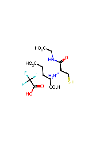 N[C@@H](CS)C(=O)NCC(=O)O.O=C(O)C(F)(F)F.O=C(O)CCCC(=O)O